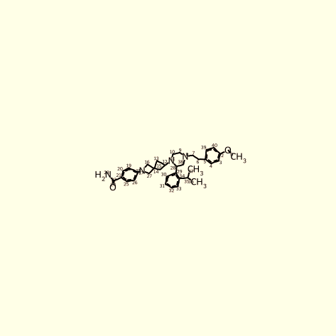 COc1ccc(CCN2CCN(C3CC4(C3)CN(c3ccc(C(N)=O)cc3)C4)C(c3ccccc3C(C)C)C2)cc1